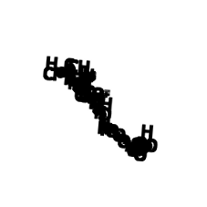 CC1(C)CCC(CN2CCN(c3ccc(C(=O)NS(=O)(=O)c4ccc(NCC5CCN(C(=O)CCCn6cc(COCCOCCOCCNc7cccc8c7C(=O)N(C7CCC(=O)NC7=O)C8=O)nn6)CC5)c([N+](=O)[O-])c4)c(Oc4cnc5[nH]ccc5c4)c3)CC2)=C(c2ccc(Cl)cc2)C1